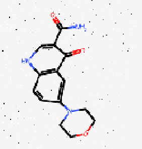 NC(=O)c1c[nH]c2ccc(N3CCOCC3)cc2c1=O